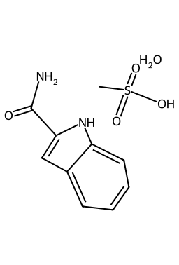 CS(=O)(=O)O.NC(=O)c1cc2ccccc2[nH]1.O